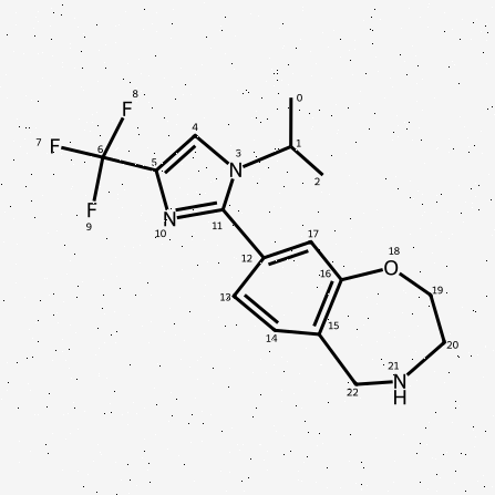 CC(C)n1cc(C(F)(F)F)nc1-c1ccc2c(c1)OCCNC2